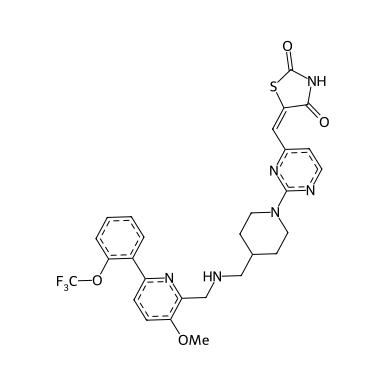 COc1ccc(-c2ccccc2OC(F)(F)F)nc1CNCC1CCN(c2nccc(C=C3SC(=O)NC3=O)n2)CC1